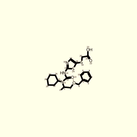 CC(COCc1ccccc1)N(C(=O)Nc1ncc(SCC(=O)O)s1)C1CCCCC1